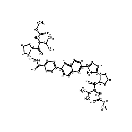 COC(=O)N[C@H](C(=O)N1CCC[C@H]1CNC(=O)c1ccc(-c2ccc3cc(-c4cnc([C@@H]5CCCN5C(=O)[C@@H](NC(=O)OC)C(C)C)[nH]4)ccc3n2)cc1)C(C)C